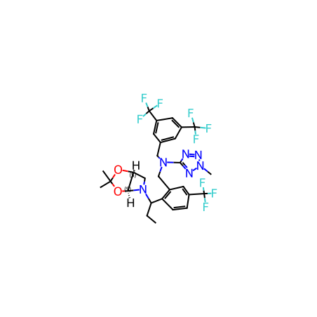 CCC(c1ccc(C(F)(F)F)cc1CN(Cc1cc(C(F)(F)F)cc(C(F)(F)F)c1)c1nnn(C)n1)N1C[C@@H]2OC(C)(C)O[C@@H]21